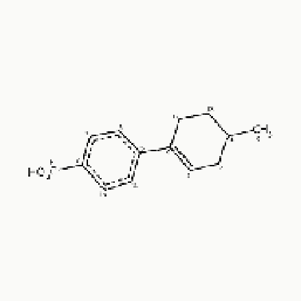 CC1CC=C(c2ccc(C(=O)O)cc2)CC1